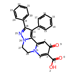 O=C(O)c1cn2c(cc1=O)-c1c(-c3ccccc3)c(-c3ccccc3)nn1CC2